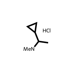 CNC(C)C1CC1.Cl